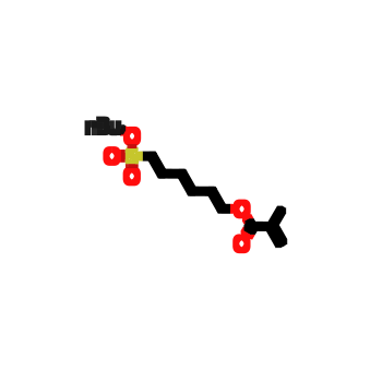 C=C(C)C(=O)OCCCCCCS(=O)(=O)OCCCC